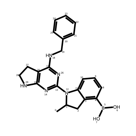 CC1Cc2c(B(O)O)cccc2N1c1nc2c(c(NCc3ccccc3)n1)CCN2